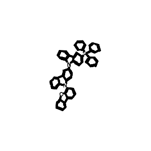 c1ccc([Si](c2ccccc2)(c2ccccc2)c2ccc3c(c2)c2ccccc2n3-c2ccc3c(c2)c2ccccc2n3-c2cccc3c2oc2ccccc23)cc1